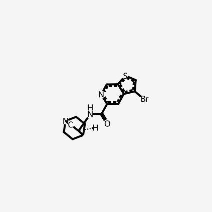 O=C(N[C@@H]1CN2CCC1CC2)c1cc2c(Br)csc2cn1